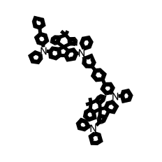 CC1(C)c2ccccc2C2(c3cc(N(c4ccccc4)c4ccccc4)ccc3-c3ccc(N(c4ccccc4)c4ccc(-c5ccc(-c6ccc(N(c7ccccc7)c7ccc8c(c7)C7(c9cc(N(c%10ccccc%10)c%10ccc(-c%11ccccc%11)cc%10)ccc9-8)c8ccccc8C(C)(C)c8ccccc87)cc6)cc5)cc4)cc32)c2ccccc21